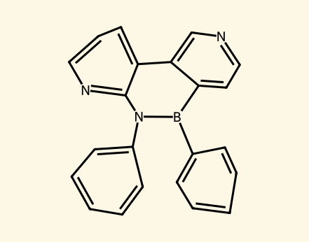 c1ccc(B2c3ccncc3-c3cccnc3N2c2ccccc2)cc1